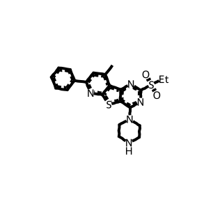 CCS(=O)(=O)c1nc(N2CCNCC2)c2sc3nc(-c4ccccc4)cc(C)c3c2n1